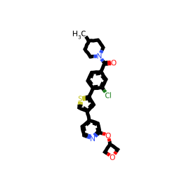 CC1CCN(C(=O)c2ccc(-c3cc(-c4ccnc(OC5COC5)c4)cs3)c(Cl)c2)CC1